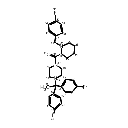 CC(c1ccc(F)cc1)(c1ccc(F)cc1)N1CCN(C(=O)[C@@H]2CCCCN2Cc2ccc(F)cc2)CC1